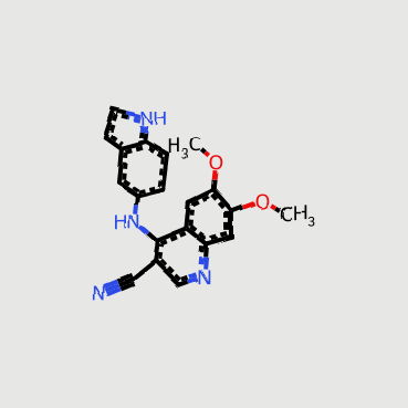 COc1cc2ncc(C#N)c(Nc3ccc4[nH]ccc4c3)c2cc1OC